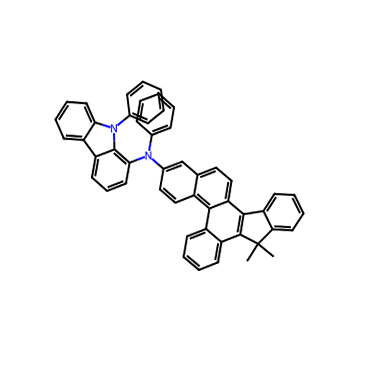 CC1(C)c2ccccc2-c2c1c1ccccc1c1c2ccc2cc(N(c3ccccc3)c3cccc4c5ccccc5n(-c5ccccc5)c34)ccc21